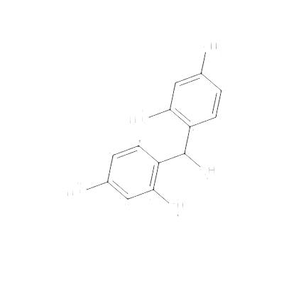 Cc1ccc(C(C)c2ccc(C)cc2C)c(C)c1